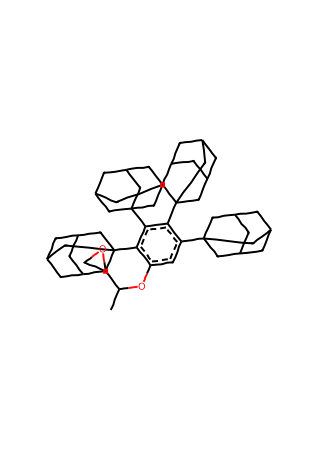 CC(Oc1cc(C23CC4CC(CC(C4)C2)C3)c(C23CC4CC(CC(C4)C2)C3)c(C23CC4CC(CC(C4)C2)C3)c1C12CC3CC(CC(C3)C1)C2)C1CO1